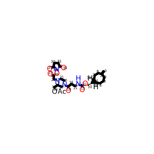 C=C1CCC[C@H]2[C@@H](CC1)[C@H]2COC(=O)NCCC(=O)N1CCN(CC(=O)ON2C(=O)CCC2=O)C(COC(C)=O)C1